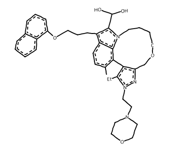 CCc1c2c(nn1CCN1CCOCC1)COCCCCn1c(C(O)O)c(CCCOc3cccc4ccccc34)c3ccc(C)c-2c31